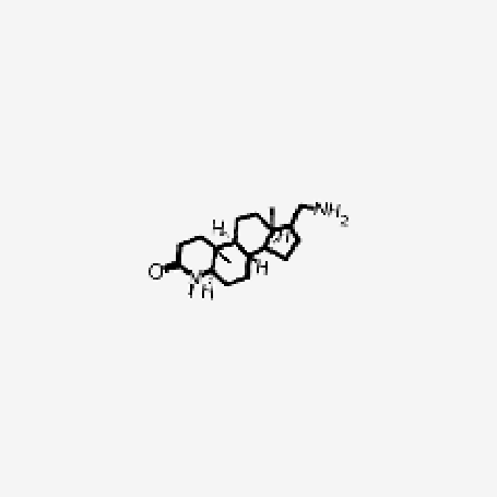 CN1C(=O)CC[C@]2(C)[C@H]3CC[C@]4(C)C(CN)CC[C@H]4[C@@H]3CC[C@@H]12